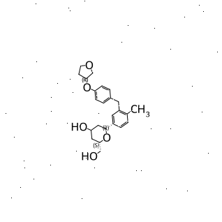 Cc1ccc([C@H]2CC(O)C[C@@H](CO)O2)cc1Cc1ccc(O[C@@H]2CCOC2)cc1